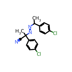 CC(N=NC(C)(C#N)c1ccc(Cl)cc1)c1ccc(Cl)cc1